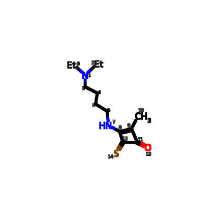 CCN(CC)CCCCNc1c(C)c(=O)c1=S